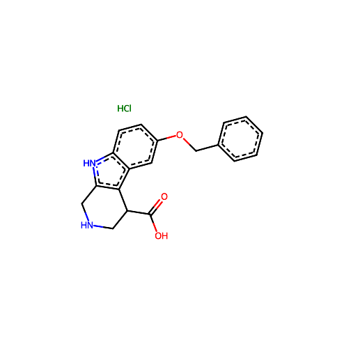 Cl.O=C(O)C1CNCc2[nH]c3ccc(OCc4ccccc4)cc3c21